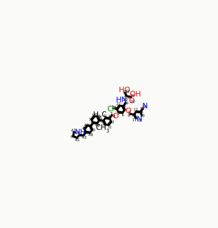 Cc1c(COc2cc(OCc3cncc(C#N)c3)c(CNC(CO)C(=O)O)cc2Cl)cccc1-c1cccc(-c2ccc(CC3CCCN3)cc2)c1C